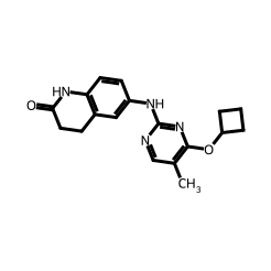 Cc1cnc(Nc2ccc3c(c2)CCC(=O)N3)nc1OC1CCC1